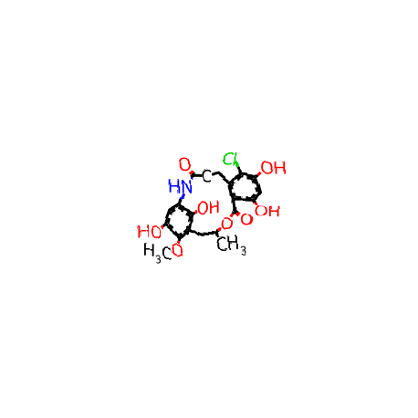 COc1c(O)cc2c(O)c1CC(C)OC(=O)c1c(O)cc(O)c(Cl)c1CCC(=O)N2